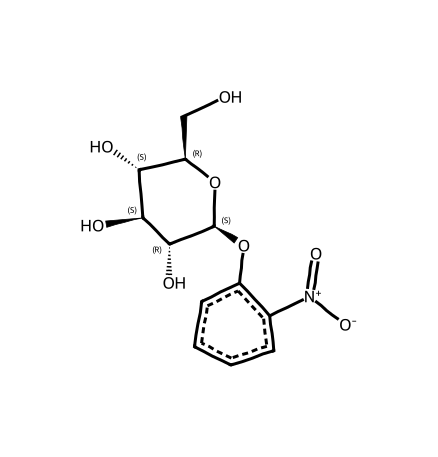 O=[N+]([O-])c1ccccc1O[C@@H]1O[C@H](CO)[C@@H](O)[C@H](O)[C@H]1O